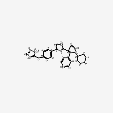 c1cc(-c2c(-c3nc(-c4ccc(Cc5nnn[nH]5)cc4)no3)cnn2C2CCCCC2)ccn1